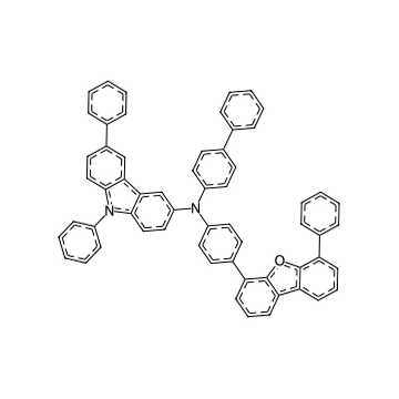 c1ccc(-c2ccc(N(c3ccc(-c4cccc5c4oc4c(-c6ccccc6)cccc45)cc3)c3ccc4c(c3)c3cc(-c5ccccc5)ccc3n4-c3ccccc3)cc2)cc1